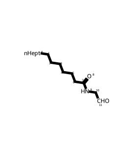 CCCCCCCCCCCCCC(=O)NCC=O